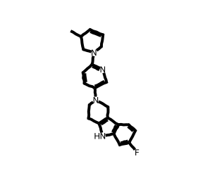 CC1C=CCN(c2ccc(N3CCc4[nH]c5cc(F)ccc5c4C3)cn2)C1